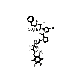 CCC(N[C@@H](Cc1ccccc1)C(=O)O)C(=O)[C@@H]1C[C@@H](O)CN1C(=O)C1CCCN1C(=O)CNC(CC)(CC)C(=O)[C@@H](N)Cc1c(F)c(F)c(F)c(F)c1F